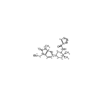 Cn1c(=O)n(CC(C)(C)C)c2ccc(C3CCC(C)(C)C(NC(=O)c4csnn4)C3)nc21